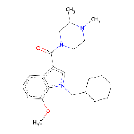 COc1cccc2c(C(=O)N3CCN(C)C(C)C3)cn(CC3CCCCC3)c12